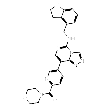 O=C(c1ccc(-c2cnc(NCc3cccc4c3CCO4)n3cnnc23)cn1)N1CCOCC1